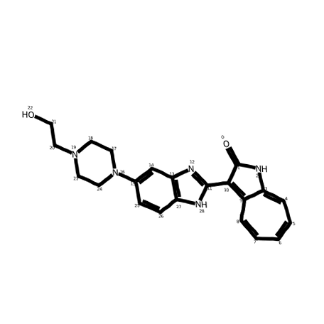 O=c1[nH]c2cccccc-2c1-c1nc2cc(N3CCN(CCO)CC3)ccc2[nH]1